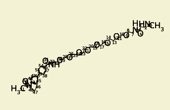 CNCCC(=O)NCCOCCOCCOCCOCCOCCOCCOCCOCCNC(=O)c1ccc(-c2ccc3c(c2)CCCN3C(C)=O)cc1